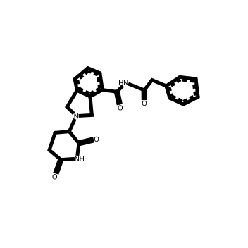 O=C(Cc1ccccc1)NC(=O)c1cccc2c1CN(C1CCC(=O)NC1=O)C2